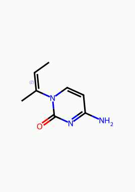 C/C=C(/C)n1ccc(N)nc1=O